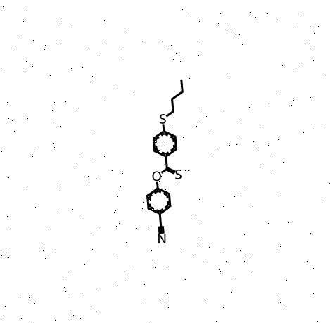 CCCCSc1ccc(C(=S)Oc2ccc(C#N)cc2)cc1